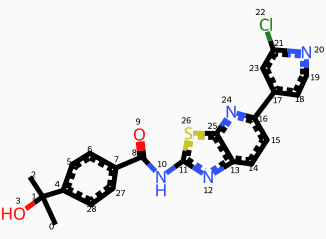 CC(C)(O)c1ccc(C(=O)Nc2nc3ccc(-c4ccnc(Cl)c4)nc3s2)cc1